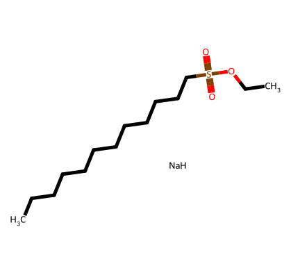 CCCCCCCCCCCCS(=O)(=O)OCC.[NaH]